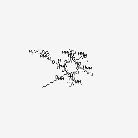 CCCCCCCCCC(=O)NCCCC[C@@H]1NC(=O)[C@H](CCC(=O)NCCOCCOCC(=O)NC(CCCCN)C(N)=O)NC(=O)[C@H](CCCNC(=N)N)NC(=O)[C@H](CCCNC(=N)N)NC(=O)[C@H](CCCNC(=N)N)NC(=O)[C@H](CCCNC(N)N)NC1=O